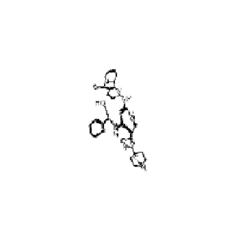 O=C1c2ccc(Nc3cc(N[C@H](CO)c4ccccc4)c(-c4nc(C56CCN(CC5)CC6)no4)cn3)nc2C2CC=CCN12